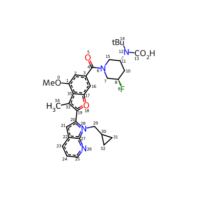 COc1cc(C(=O)N2C[C@H](F)C[C@@H](N(C(=O)O)C(C)(C)C)C2)cc2oc(-c3cc4cccnc4n3CC3CC3)c(C)c12